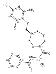 Cc1nc(N)c(CC[C@H]2CCCN(C(=O)[C@H](C)NC(=O)c3cccnn3)CC2)c(Cl)n1